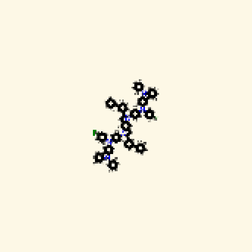 Fc1ccc(N(c2ccc(-n3c(-c4cccc(-c5ccccc5)c4)cc4cc5c(cc(-c6cccc(-c7ccccc7)c6)n5-c5ccc(N(c6ccc(F)cc6)c6ccc7c(c6)c6ccccc6n7-c6ccccc6)cc5)cc43)cc2)c2ccc3c(c2)c2ccccc2n3-c2ccccc2)cc1